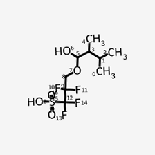 CC(C)C(C)C(O)OCC(F)(F)C(F)(F)S(=O)(=O)O